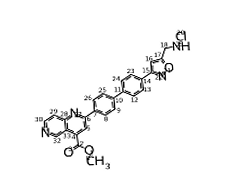 COC(=O)c1cc(-c2ccc(-c3ccc(-c4cc(CNCl)on4)cc3)cc2)nc2ccncc12